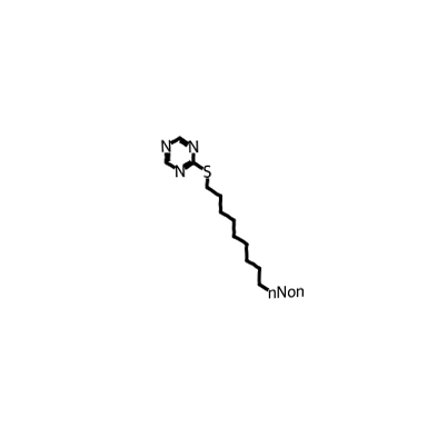 CCCCCCCCCCCCCCCCCCSc1ncncn1